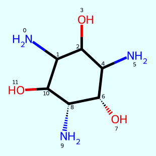 NC1C(O)C(N)[C@H](O)[C@H](N)C1O